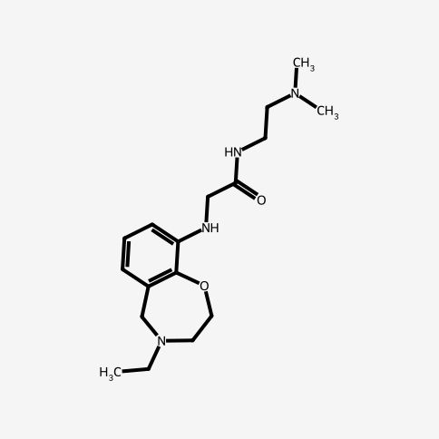 CCN1CCOc2c(cccc2NCC(=O)NCCN(C)C)C1